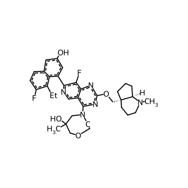 CCc1c(F)ccc2cc(O)cc(-c3ncc4c(N5CCOCC(C)(O)C5)nc(OC[C@]56CCC[C@H]5N(C)CCC6)nc4c3F)c12